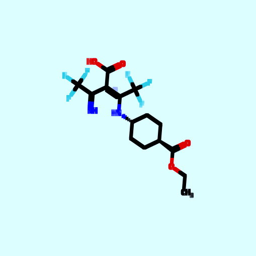 CCOC(=O)[C@H]1CC[C@H](N/C(=C(\C(=N)C(F)(F)F)C(=O)O)C(F)(F)F)CC1